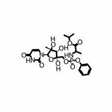 CC(C)OC(=O)C(C)N[P@@](=O)(OC[C@@]1(O)O[C@@H](n2ccc(=O)[nH]c2=O)[C@](C)(O)[C@@H]1O)Oc1ccccc1